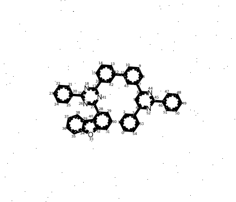 c1ccc(-c2cc(-c3cccc(-c4cccc(-c5nc(-c6ccccc6)nc(-c6cccc7oc8ccccc8c67)n5)c4)c3)nc(-c3ccccc3)n2)cc1